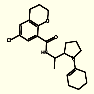 CC(NC(=O)c1cc(Cl)cc2c1OCCC2)C1CCCN1C1=CCCCC1